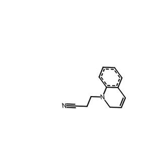 N#CCCN1CC=Cc2ccccc21